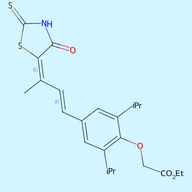 CCOC(=O)COc1c(C(C)C)cc(/C=C/C(C)=C2/SC(=S)NC2=O)cc1C(C)C